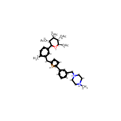 CC(=O)O[C@H]1OC(c2ccc(C)c(Cc3ccc(-c4cccc(CN5CCN(C)CC5)c4)s3)c2)[C@H](OC(C)=O)[C@@H](OC(C)=O)[C@@H]1OC(C)=O